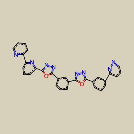 c1ccc(-c2cccc(-c3nnc(-c4cccc(-c5nnc(-c6cccc(-c7cccnn7)c6)o5)c4)o3)n2)nc1